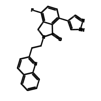 O=C1c2c(-c3cn[nH]c3)ccc(F)c2CN1CCc1ccc2ccccc2n1